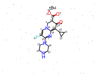 CC(C)(C)OC(=O)C1CN2C=C(F)C(N3CCNCC3)=NC2=C(C2CC2)C1=O